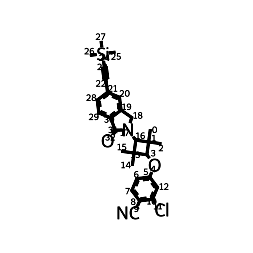 CC1(C)C(Oc2ccc(C#N)c(Cl)c2)C(C)(C)C1N1Cc2cc(C#C[Si](C)(C)C)ccc2C1=O